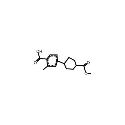 COC(=O)C1CCC(c2ccc(C(=O)O)c(C)c2)CC1